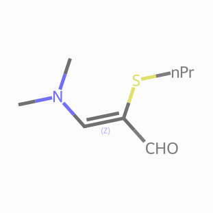 CCCS/C(C=O)=C\N(C)C